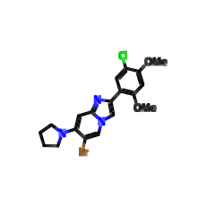 COc1cc(OC)c(-c2cn3cc(Br)c(N4CCCC4)cc3n2)cc1Cl